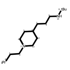 CC(C)CCN1CCC(CCCNC(C)(C)C)CC1